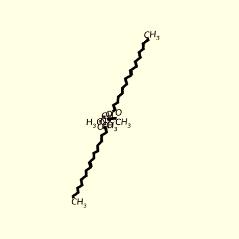 CCCCCCCCC=CCCCCCCCC(=O)OC(CC)(OC(=O)CCCCCCCC=CCCCCCCCC)[N+](C)(C)C